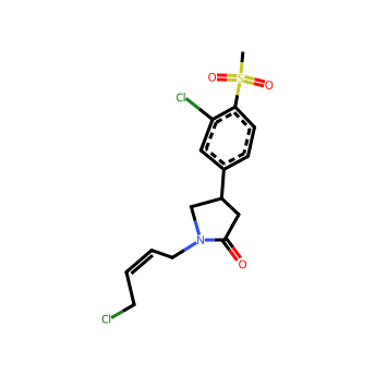 CS(=O)(=O)c1ccc(C2CC(=O)N(C/C=C\CCl)C2)cc1Cl